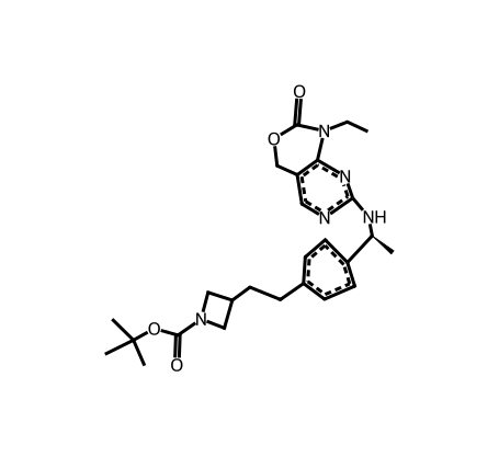 CCN1C(=O)OCc2cnc(N[C@@H](C)c3ccc(CCC4CN(C(=O)OC(C)(C)C)C4)cc3)nc21